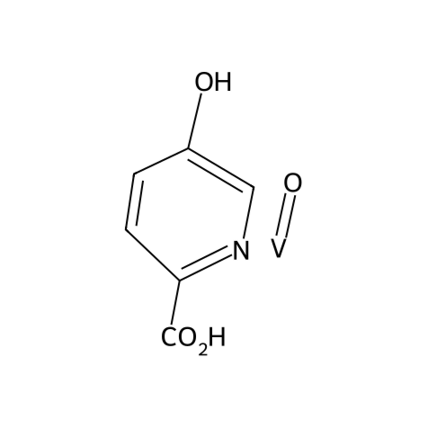 O=C(O)c1ccc(O)cn1.[O]=[V]